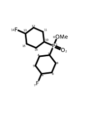 COP(=O)(C1CCC(F)CC1)C1CCC(F)CC1